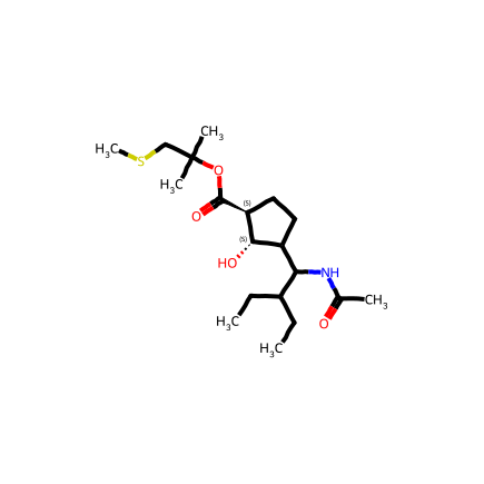 CCC(CC)C(NC(C)=O)C1CC[C@H](C(=O)OC(C)(C)CSC)[C@H]1O